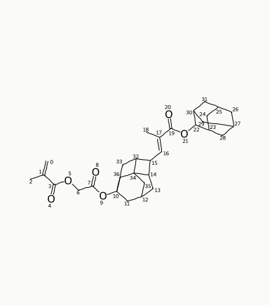 C=C(C)C(=O)OCC(=O)OC12CC3CC4C(/C=C(\C)C(=O)OC5C6CC7CC(C6)CC5C7)C(C1)C4(C3)C2